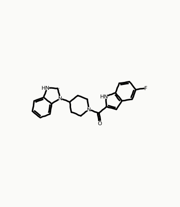 O=C(c1cc2cc(F)ccc2[nH]1)N1CCC(N2[CH]Nc3ccccc32)CC1